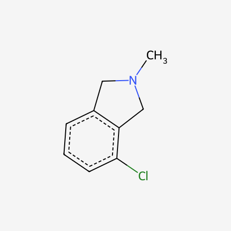 CN1Cc2cccc(Cl)c2C1